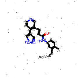 CC(=O)NCc1cc(NC(=O)/C=C/c2cnccc2-c2cn[nH]c2)ccc1C